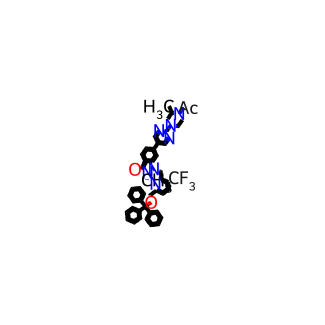 CC(=O)N1CCN(c2ncc(-c3ccc4c(=O)n(C)n(Cc5nc(COC(c6ccccc6)(c6ccccc6)c6ccccc6)ccc5C(F)(F)F)c4c3)cn2)CC1C